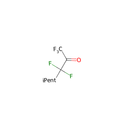 CCCC(C)C(F)(F)C(=O)C(F)(F)F